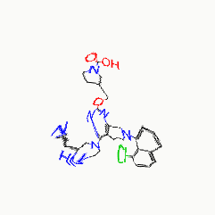 N#CCC1CN(c2nc(OCC3CCN(C(=O)O)C3)nc3c2CCN(c2cccc4cccc(Cl)c24)C3)CCN1